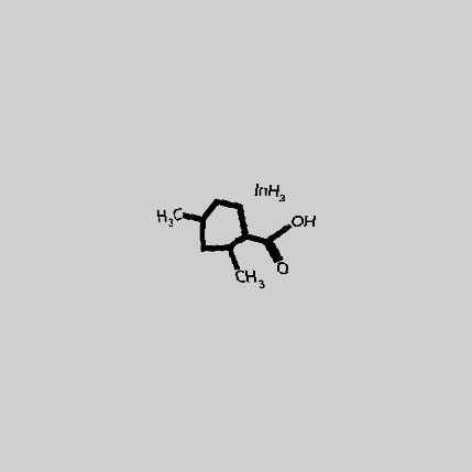 CC1CCC(C(=O)O)C(C)C1.[InH3]